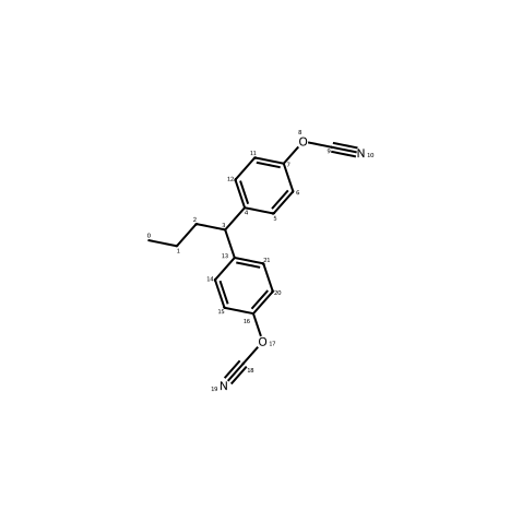 CCCC(c1ccc(OC#N)cc1)c1ccc(OC#N)cc1